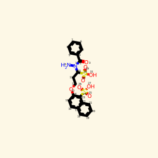 NN(C(=O)c1ccccc1)C(CCOc1ccc2ccccc2c1S(=O)(=O)O)S(=O)(=O)O